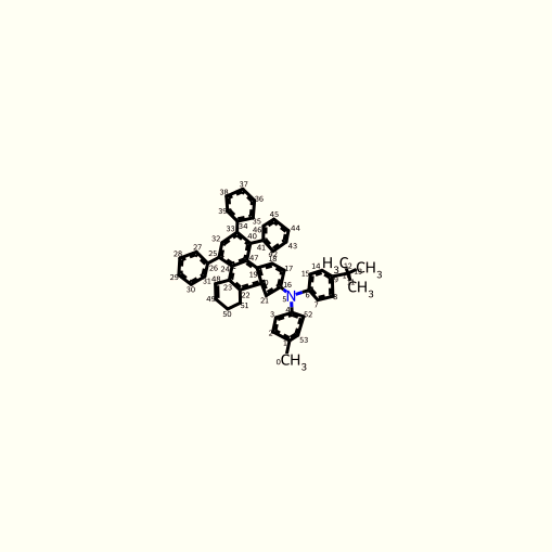 Cc1ccc(N(c2ccc(C(C)(C)C)cc2)c2ccc3c(c2)c2c(c4c(-c5ccccc5)cc(-c5ccccc5)c(-c5ccccc5)c43)C=CCC2)cc1